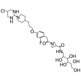 O=C(NC[C@H](O)[C@@H](O)[C@H](O)[C@H](O)CO)C1CN(C(=O)Cc2ccc(OCCCC3CCN(C4NCC(Cl)CN4)CC3)cc2F)C1